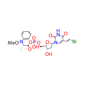 CON(c1ccccc1)[C@@H](C)C(=O)OP(=O)(O)OC[C@H]1O[C@@H](n2cc(/C=C/Br)c(=O)[nH]c2=O)C[C@@H]1O